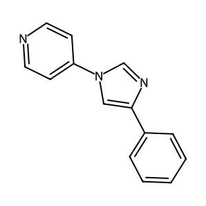 c1ccc(-c2cn(-c3ccncc3)cn2)cc1